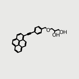 OCC(O)COCc1ccc(C#Cc2ccc3ccc4cccc5ccc2c3c45)cc1